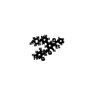 CCN(C(=O)C1CCCC1)c1cc(-c2ccnc(N3CCN(C)CC3)c2)cc(C(=O)NCc2c(C)cc(C)[nH]c2=O)c1C